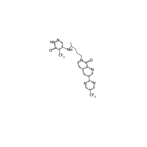 CC(CCCn1ccc2cc(-c3ncc(C(F)(F)F)cn3)cnc2c1=O)Nc1cn[nH]c(=O)c1C(F)(F)F